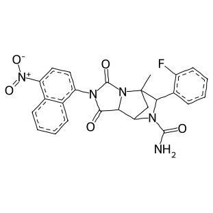 CC12CC(C3C(=O)N(c4ccc([N+](=O)[O-])c5ccccc45)C(=O)N31)N(C(N)=O)C2c1ccccc1F